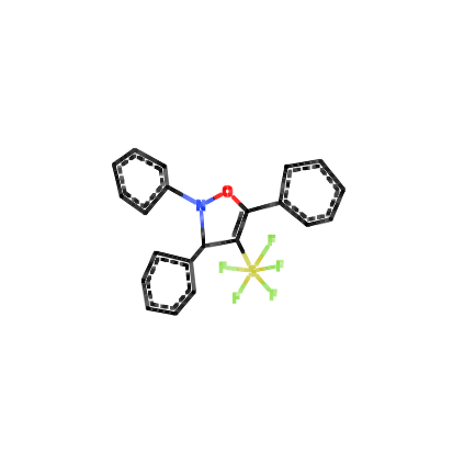 FS(F)(F)(F)(F)C1=C(c2ccccc2)ON(c2ccccc2)C1c1ccccc1